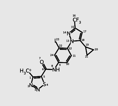 Cc1nnsc1C(=O)Nc1ccc(-n2nc(C(F)(F)F)cc2C2CC2)c(I)c1